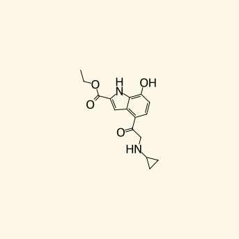 CCOC(=O)c1cc2c(C(=O)CNC3CC3)ccc(O)c2[nH]1